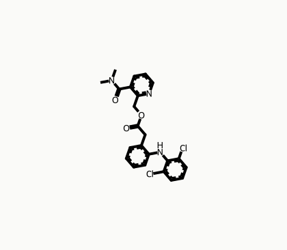 CN(C)C(=O)c1cccnc1COC(=O)Cc1ccccc1Nc1c(Cl)cccc1Cl